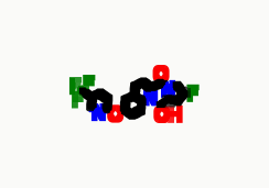 O=C(c1ccc2cc(Oc3ccc(C(F)(F)F)cn3)ccc2n1)N1C[C@@H](F)C[C@H]1CO